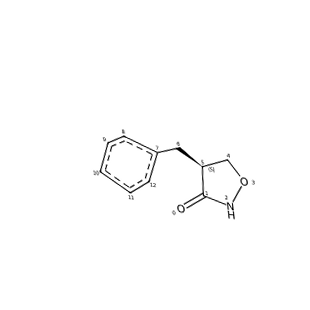 O=C1NOC[C@@H]1Cc1ccccc1